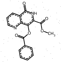 COC(=O)c1[nH]c(=O)c2cccnc2c1OC(=O)c1ccccc1